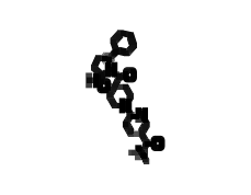 CN(C)C(=O)c1ccc(N2CCC3(CC2)O[C@@H]2CC[C@@H](c4ccccc4)N2C3=O)nc1